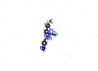 CC(C)Oc1ccc(-c2ccc3nc(NCc4ccc(-n5cccn5)cc4)nc(NCC(F)(F)F)c3n2)cn1